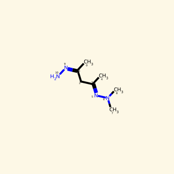 C/C(C/C(C)=N/N(C)C)=N/N